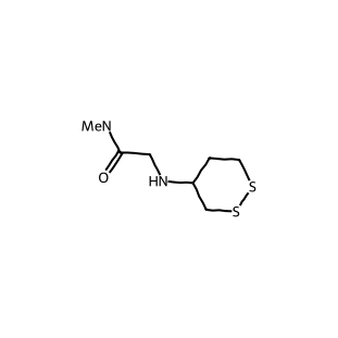 CNC(=O)CNC1CCSSC1